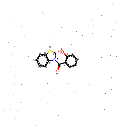 O=C(c1ccccc1O)N1CSc2ccccc21